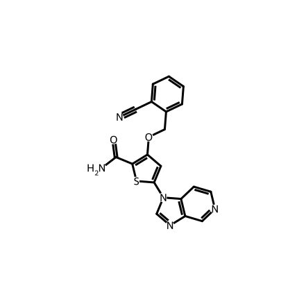 N#Cc1ccccc1COc1cc(-n2cnc3cnccc32)sc1C(N)=O